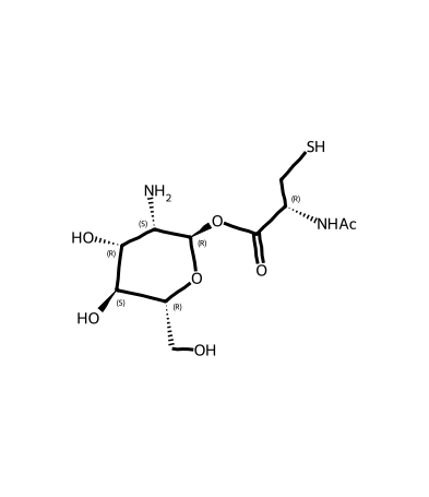 CC(=O)N[C@@H](CS)C(=O)O[C@H]1O[C@H](CO)[C@@H](O)[C@H](O)[C@@H]1N